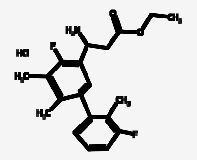 CCOC(=O)CC(N)c1cc(-c2cccc(F)c2C)c(C)c(C)c1F.Cl